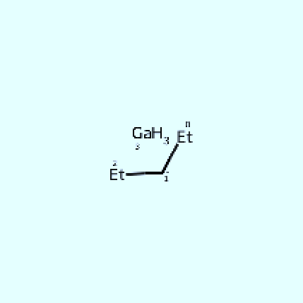 CC[CH]CC.[GaH3]